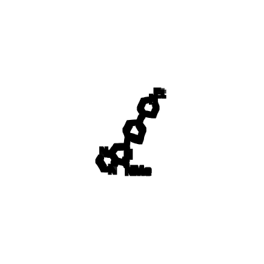 CCN1CCC(c2ccc(-c3cc4nccnc4c(NC)n3)cc2)CC1